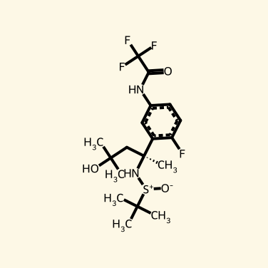 CC(C)(O)C[C@](C)(N[S+]([O-])C(C)(C)C)c1cc(NC(=O)C(F)(F)F)ccc1F